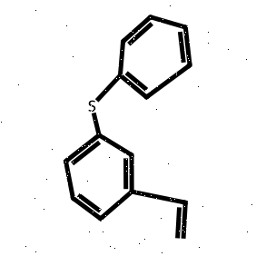 C=Cc1cccc(Sc2ccccc2)c1